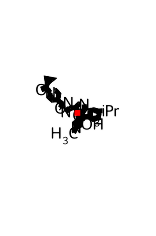 CC(C)c1ccc([C@](O)(c2cncc(-c3noc(C4CCN(C(=O)C5CC5)CC4)n3)c2)C2(C)CN(C)C2)cc1